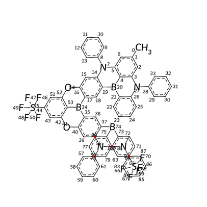 Cc1cc2c3c(c1)N(c1ccccc1)c1cc4c(cc1B3c1ccccc1N2c1ccccc1)B1c2cc3c(cc2Oc2cc(S(F)(F)(F)(F)F)cc(c21)O4)N(c1ccccc1)c1cc(S(F)(F)(F)(F)F)cc2c1B3c1ccccc1N2c1ccccc1